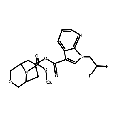 CC(C)(C)OC(=O)N1C2COCC1CC(OC(=O)c1cn(CC(F)F)c3ncccc13)C2